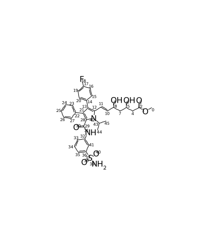 COC(=O)C[C@H](O)C[C@H](O)/C=C/c1c(-c2ccc(F)cc2)c(-c2ccccc2)c(C(=O)Nc2cccc(S(N)(=O)=O)c2)n1C(C)C